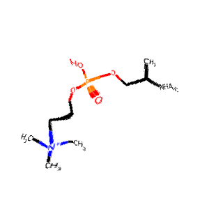 CC(=O)NC(C)COP(=O)(O)OCC[N+](C)(C)C